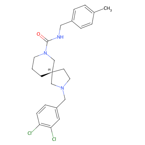 Cc1ccc(CNC(=O)N2CCC[C@]3(CCN(Cc4ccc(Cl)c(Cl)c4)C3)C2)cc1